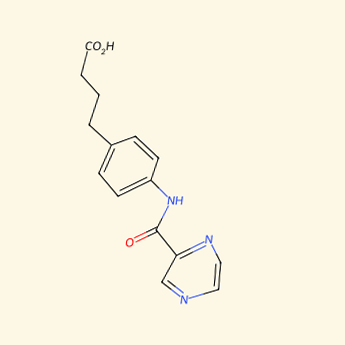 O=C(O)CCCc1ccc(NC(=O)c2cnccn2)cc1